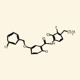 O=C(O)Cc1ccc(NC(=O)c2cc(OCc3cccc(Cl)c3)ccc2Cl)c(Cl)c1F